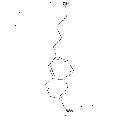 COc1ccc2cc(CCCCO)ccc2c1